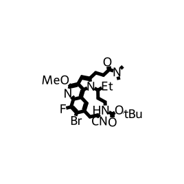 CCC(CCNC(=O)OC(C)(C)C)n1c(CCC(=O)N(C)C)cc2c(OC)nc3c(F)c(Br)c(CCC#N)cc3c21